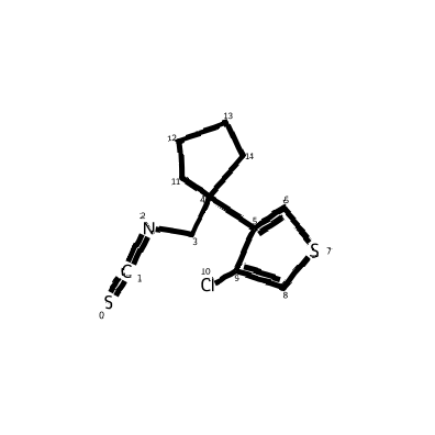 S=C=NCC1(c2cscc2Cl)CCCC1